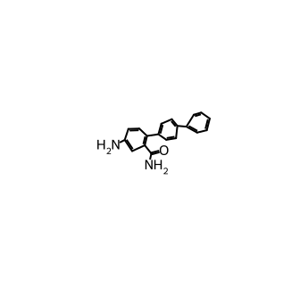 NC(=O)c1cc(N)ccc1-c1ccc(-c2ccccc2)cc1